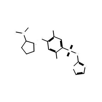 CN(C)C1CCC[C@H]1Oc1cc(F)c(S(=O)(=O)Nc2nccs2)cc1Cl